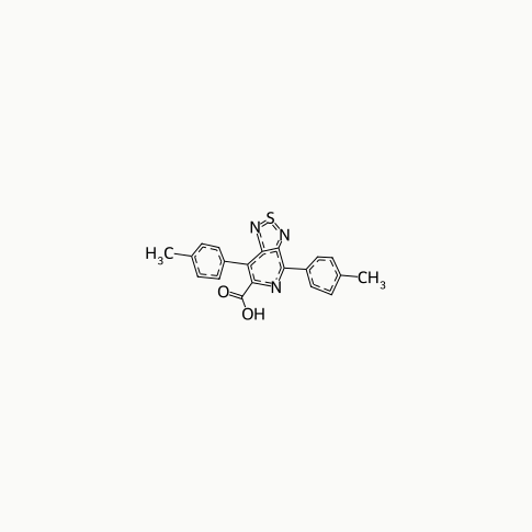 Cc1ccc(-c2nc(C(=O)O)c(-c3ccc(C)cc3)c3nsnc23)cc1